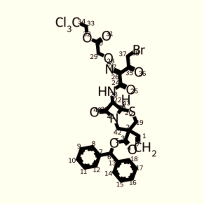 C=CC1(C(=O)OC(c2ccccc2)c2ccccc2)CS[C@@H]2C(NC(=O)C(=NOCC(=O)OCC(Cl)(Cl)Cl)C(=O)CBr)C(=O)N2C1